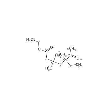 CCOC(=O)CC(C)(C)CC(C)(CC)C(C)=O